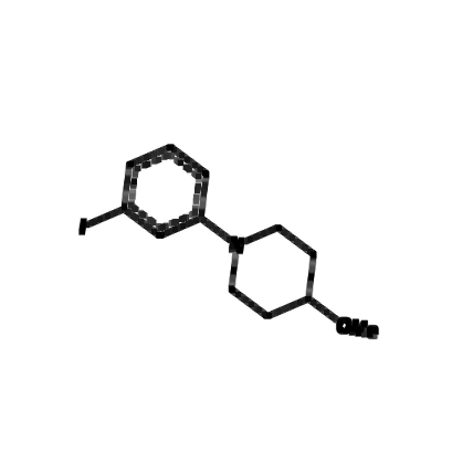 COC1CCN(c2cccc(I)c2)CC1